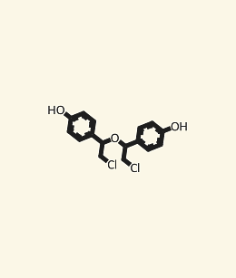 Oc1ccc(C(CCl)OC(CCl)c2ccc(O)cc2)cc1